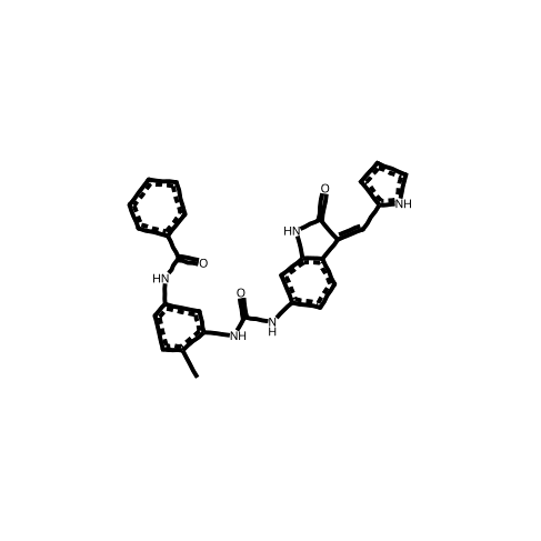 Cc1ccc(NC(=O)c2ccccc2)cc1NC(=O)Nc1ccc2c(c1)NC(=O)C2=Cc1ccc[nH]1